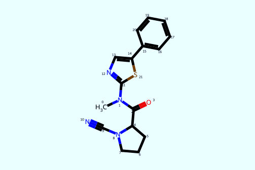 CN(C(=O)C1CCCN1C#N)c1ncc(-c2ccccc2)s1